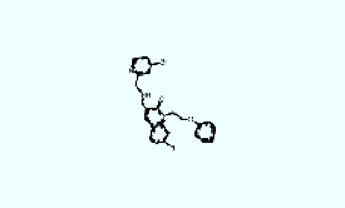 O=c1c(CNCc2cc(Br)ccn2)cc2ccc(Cl)cc2n1CCOc1ccccc1